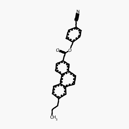 CCCc1ccc2c(ccc3cc(C(=O)Oc4ccc(C#N)cc4)ccc32)c1